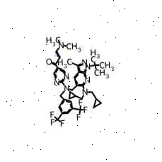 Cc1nn(C(C)(C)C)c2nc(N(CC3CC3)CC3CC3)c(CN(Cc3cc(C(F)(F)F)cc(C(F)(F)F)c3)c3ncc(C(=O)/C=C/N(C)C)cn3)cc12